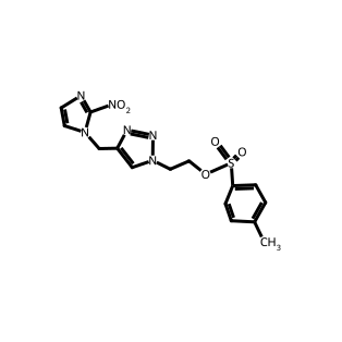 Cc1ccc(S(=O)(=O)OCCn2cc(Cn3ccnc3[N+](=O)[O-])nn2)cc1